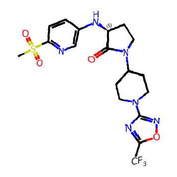 CS(=O)(=O)c1ccc(N[C@H]2CCN(C3CCN(c4noc(C(F)(F)F)n4)CC3)C2=O)cn1